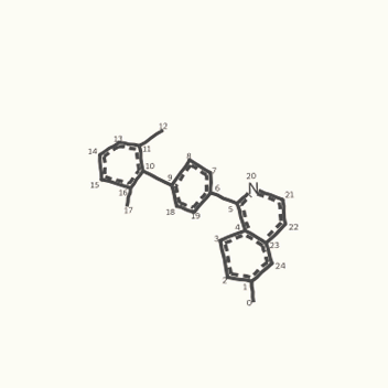 Cc1ccc2c(-c3ccc(-c4c(C)cccc4C)cc3)nccc2c1